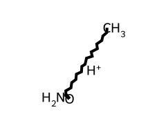 CCCCCCCCCCCCCCCCCC(N)=O.[H+]